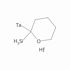 [Hf].[SiH3][C]1([Ta])CCCCO1